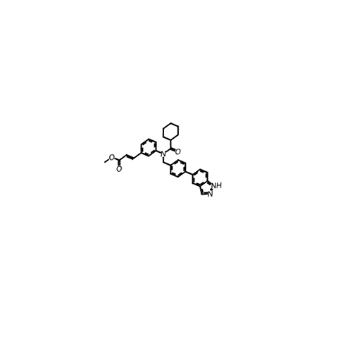 COC(=O)/C=C/c1cccc(N(Cc2ccc(-c3ccc4[nH]ncc4c3)cc2)C(=O)C2CCCCC2)c1